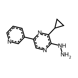 NNc1ncc(-c2cccnc2)nc1C1CC1